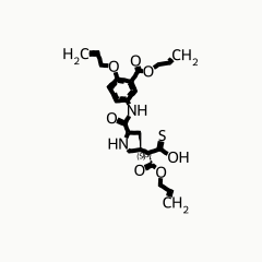 C=CCOC(=O)c1cc(NC(=O)C2C[C@@H]([C@@H](C(=O)OCC=C)C(O)=S)CN2)ccc1OCC=C